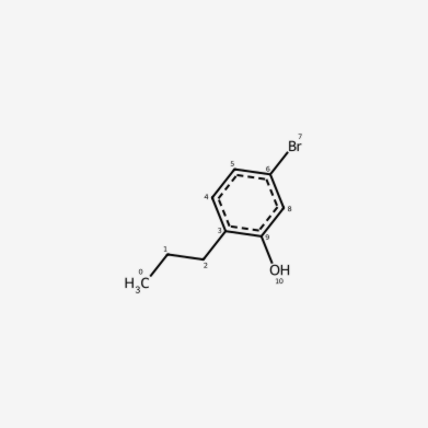 CCCc1ccc(Br)cc1O